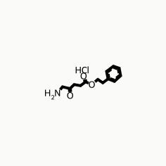 Cl.NCC(=O)CCC(=O)OCCc1ccccc1